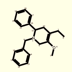 CCC1=C(OC)CN(Cc2ccccc2)C(c2ccccc2)C1